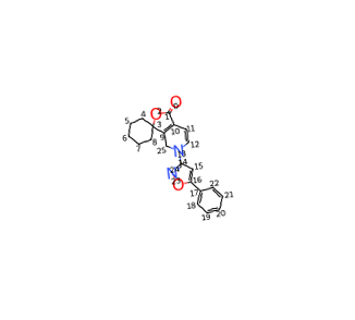 O=C1OC2(CCCCC2)C2=C1C=CN(c1cc(-c3ccccc3)on1)C2